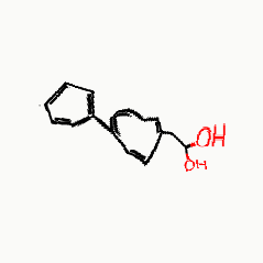 OC(O)c1ccc(-c2cc[c]cc2)cc1